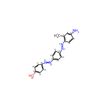 Cc1cc(N)ccc1N=Nc1ccc(N=Nc2ccc(O)cc2)cc1